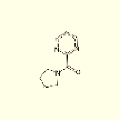 O=C(c1ncccn1)N1C[CH]CC1